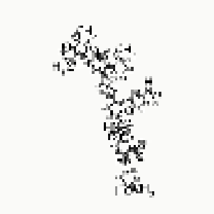 COc1cc(CN2CCN(C3CC4(C3)CN(c3ccc(C(=O)NS(=O)(=O)c5ccc(NC[C@H]6CC[C@](C)(O)CC6)c([N+](=O)[O-])c5)c(Oc5cnc6[nH]ccc6c5)c3)C4)[C@H](c3ccccc3C(C)C)C2)cc2c1OCCC2(C)C